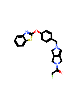 O=C(CF)N1CC2=CN(Cc3ccc(Oc4nc5ccccc5s4)cc3)CC2C1